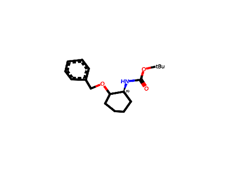 CC(C)(C)OC(=O)N[C@H]1CCCCC1OCc1ccccc1